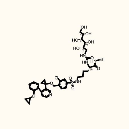 CCNC(=O)[C@H](CCCCNS(=O)(=O)c1ccc(COC2(c3cnccc3-c3ccccc3OC3CC3)CC2)c(Cl)c1)NC(=O)NC[C@H](O)[C@@H](O)[C@H](O)[C@H](O)CO